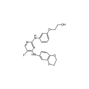 OCCOc1cccc(Nc2ncc(F)c(Nc3ccc4c(c3)OCCO4)n2)c1